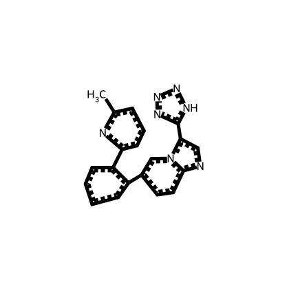 Cc1cccc(-c2ccccc2-c2ccc3ncc(-c4nnn[nH]4)n3c2)n1